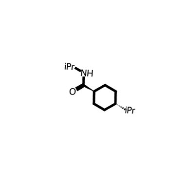 CC(C)NC(=O)[C@H]1CC[C@H](C(C)C)CC1